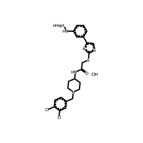 CCCCCCCNc1cccc(-c2csc(SCC(=O)NC3CCN(Cc4ccc(Cl)c(Cl)c4)CC3)n2)c1.Cl